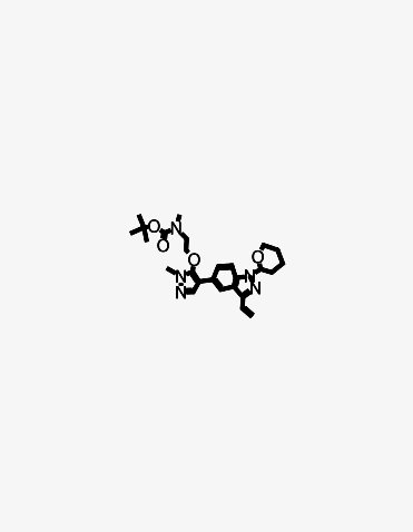 C=Cc1nn(C2CCCCO2)c2ccc(-c3cnn(C)c3OCCN(C)C(=O)OC(C)(C)C)cc12